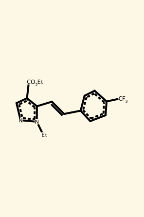 CCOC(=O)c1cnn(CC)c1C=Cc1ccc(C(F)(F)F)cc1